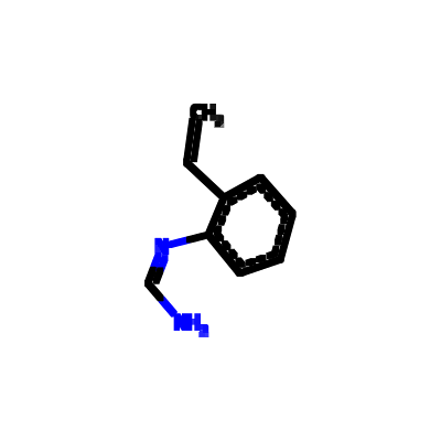 C=Cc1ccccc1/N=C\N